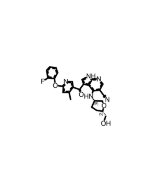 Cc1cc(Oc2ccccc2F)ncc1C(=O)c1c[nH]c2ncc(C#N)c(N[C@@H]3CC[C@@H](CO)OC3)c12